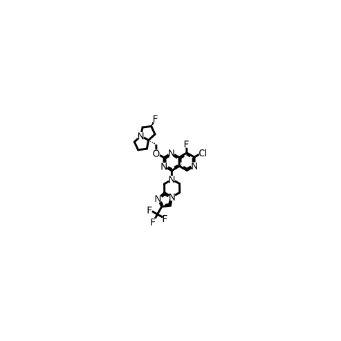 Fc1c(Cl)ncc2c(N3CCn4cc(C(F)(F)F)nc4C3)nc(OC[C@]34CCCN3C[C@@H](F)C4)nc12